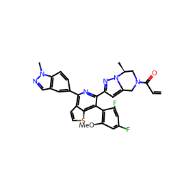 C=CC(=O)N1Cc2cc(-c3nc(-c4ccc5c(cnn5C)c4)c4ccsc4c3-c3c(F)cc(F)cc3OC)nn2[C@@H](C)C1